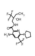 CC[C@@](O)(CNC(=O)c1nc(N2CCCC2)c(C(F)(F)F)cc1N)C(F)(F)F